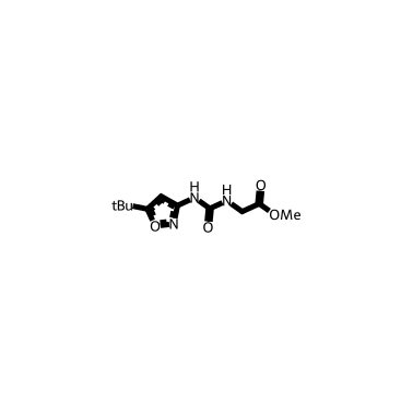 COC(=O)CNC(=O)Nc1cc(C(C)(C)C)on1